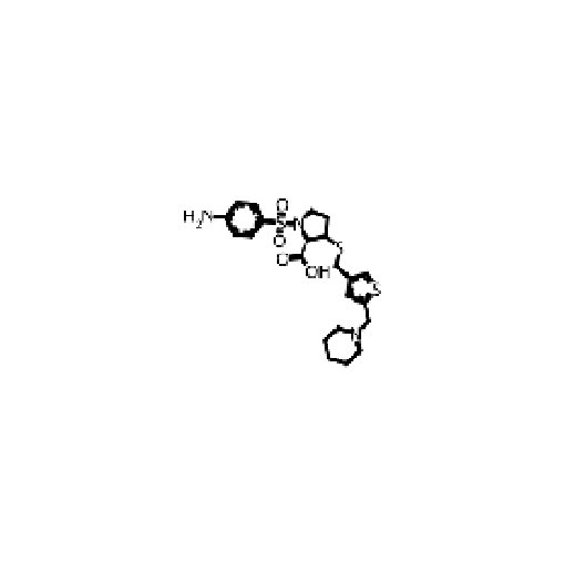 Nc1ccc(S(=O)(=O)N2CCC(SCc3csc(CN4CCCCC4)c3)[C@H]2C(=O)O)cc1